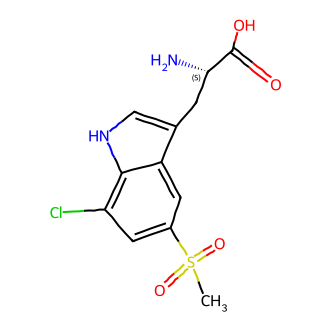 CS(=O)(=O)c1cc(Cl)c2[nH]cc(C[C@H](N)C(=O)O)c2c1